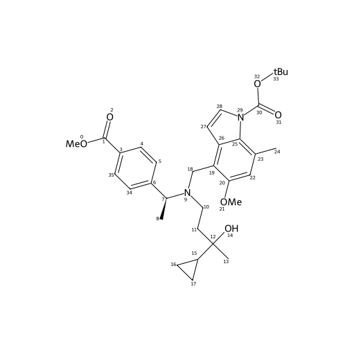 COC(=O)c1ccc([C@H](C)N(CCC(C)(O)C2CC2)Cc2c(OC)cc(C)c3c2ccn3C(=O)OC(C)(C)C)cc1